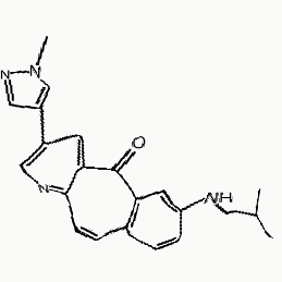 CC(C)CNc1ccc2ccc3ncc(-c4cnn(C)c4)cc3c(=O)c2c1